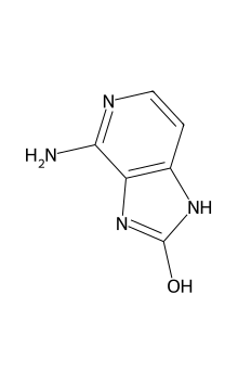 Nc1nccc2[nH]c(O)nc12